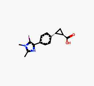 Cc1nc(-c2ccc([C@@H]3C[C@H]3C(=O)O)cc2)c(I)n1C